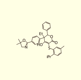 CCC1(c2ccc(C3=NCC(C)(C)O3)cc2)C(O)=C(Sc2cc(C)ccc2C(C)C)C(=O)OC1c1ccccc1